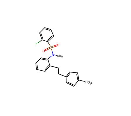 CCCCN(c1ccccc1CCc1ccc(C(=O)O)cc1)S(=O)(=O)c1ccccc1F